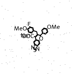 COc1ccc(C(=O)/C(Cc2ccc(OC)c(F)c2)=C(/C(=O)[O-])c2ccc3nsnc3c2)cc1.[Na+]